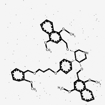 COc1ccccc1COCCCOc1ccc([C@H]2[C@@H](OCc3cc(OC)c4ccccc4c3OC)CNC[C@H]2OCc2cc(OC)c3ccccc3c2OC)cc1